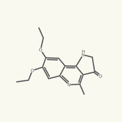 CCOc1cc2nc(C)c3c(c2cc1OCC)NCC3=O